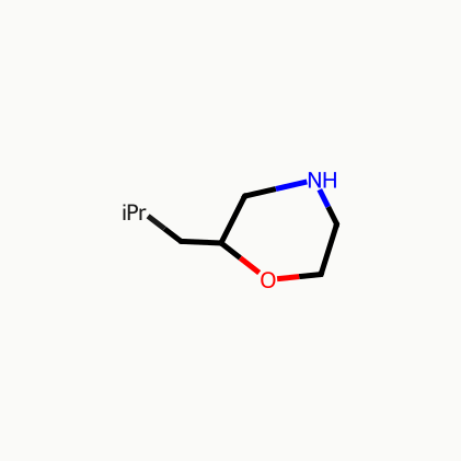 CC(C)CC1CNCCO1